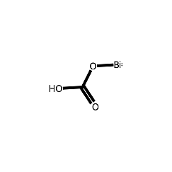 O=C(O)[O][Bi]